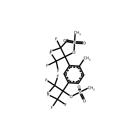 Cc1ccc(C(OS(C)(=O)=O)(C(F)(F)F)C(F)(F)F)cc1C(OS(C)(=O)=O)(C(F)(F)F)C(F)(F)F